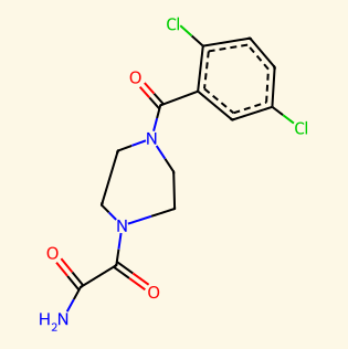 NC(=O)C(=O)N1CCN(C(=O)c2cc(Cl)ccc2Cl)CC1